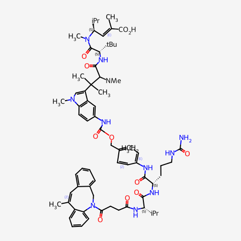 C=C(/C=C\C(=C/C)NC(=O)[C@H](CCCNC(N)=O)NC(=O)[C@@H](NC(=O)CCC(=O)N1Cc2ccccc2/C=C(/C)c2ccccc21)C(C)C)COC(=O)Nc1ccc2c(c1)c(C(C)(C)C(NC)C(=O)N[C@H](C(=O)N(C)[C@H](/C=C(\C)C(=O)O)C(C)C)C(C)(C)C)cn2C